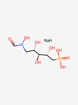 O=CN(O)C[C@H](O)[C@H](O)[C@H](O)CP(=O)(O)O.[NaH]